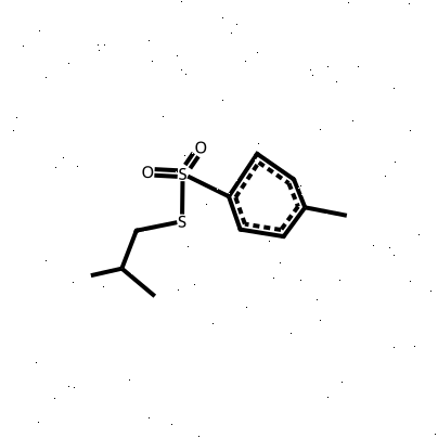 Cc1ccc(S(=O)(=O)SCC(C)C)cc1